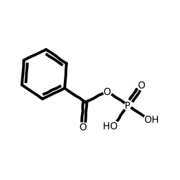 O=C(OP(=O)(O)O)c1ccccc1